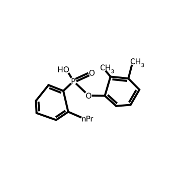 CCCc1ccccc1P(=O)(O)Oc1cccc(C)c1C